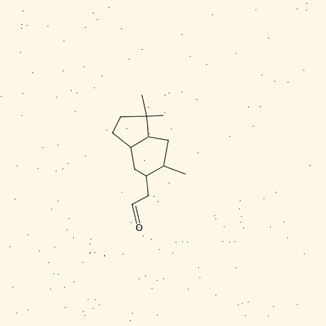 CC1CC2C(CCC2(C)C)CC1CC=O